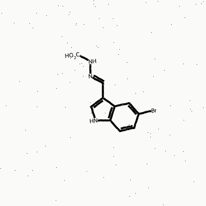 O=C(O)NN=Cc1c[nH]c2ccc(Br)cc12